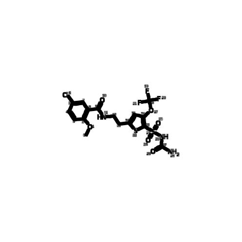 COc1ccc(Cl)cc1C(=O)NCCc1cc(OC(F)(F)F)c(S(=O)(=O)NC(N)=O)s1